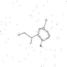 [O]CC(F)c1cc(Cl)ccc1Br